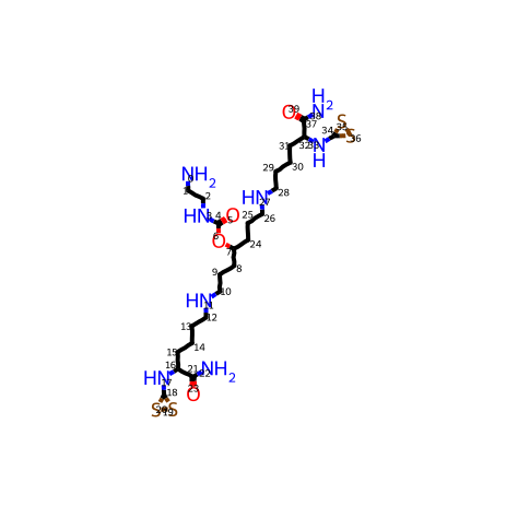 NCCNC(=O)OC(CCCNCCCCC(NC1SS1)C(N)=O)CCCNCCCCC(NC1SS1)C(N)=O